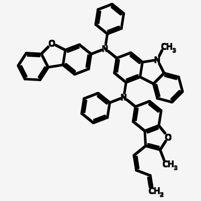 C=C/C=C\c1c(C)oc2ccc(N(c3ccccc3)c3cc(N(c4ccccc4)c4ccc5c(c4)oc4ccccc45)cc4c3c3ccccc3n4C)cc12